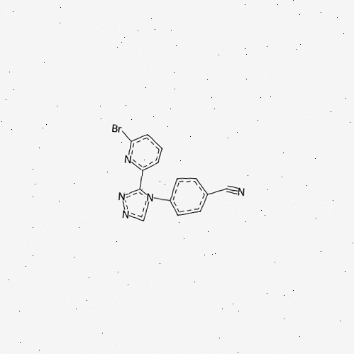 N#Cc1ccc(-n2cnnc2-c2cccc(Br)n2)cc1